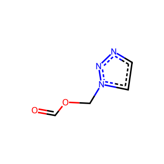 O=COCn1ccnn1